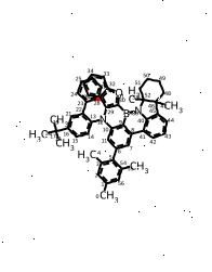 Cc1cc(C)c(-c2cc3c4c(c2)N(c2ccc(C(C)(C)C)cc2-c2ccccc2)c2c(oc5ccccc25)B4N2c4c-3cccc4C3(C)CCCCC23C)c(C)c1